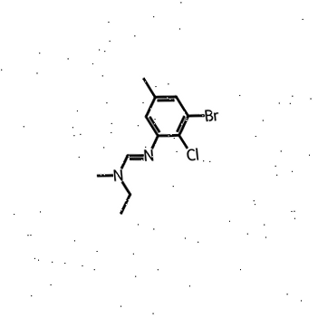 CCN(C)C=Nc1cc(C)cc(Br)c1Cl